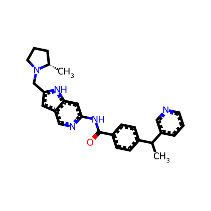 CC(c1ccc(C(=O)Nc2cc3[nH]c(CN4CCC[C@@H]4C)cc3cn2)cc1)c1cccnc1